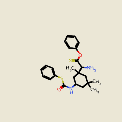 CC1(C)CC(NC(=O)Sc2ccccc2)CC(C)(C(N)C(=S)Oc2ccccc2)C1